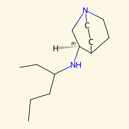 CCCC(CC)N[C@H]1CN2CCC1CC2